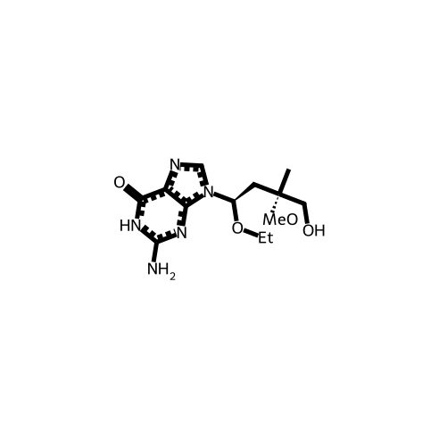 CCO[C@H](C[C@@](C)(CO)OC)n1cnc2c(=O)[nH]c(N)nc21